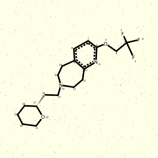 FC(F)(F)COc1ccc2c(n1)CCN(CC[C@H]1CCCCO1)CC2